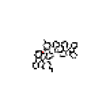 C/C=C(\C=C/CI)C1(c2ccc(N(c3ccccc3)c3cccc4c3-c3ccccc3C43c4ccccc4-c4ccccc43)c3c4c(oc23)CC(C)C=C4)c2ccccc2-c2ccccc21